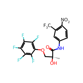 C[C@](O)(COc1c(F)c(F)c(F)c(F)c1F)C(=O)Nc1ccc([N+](=O)[O-])c(C(F)(F)F)c1